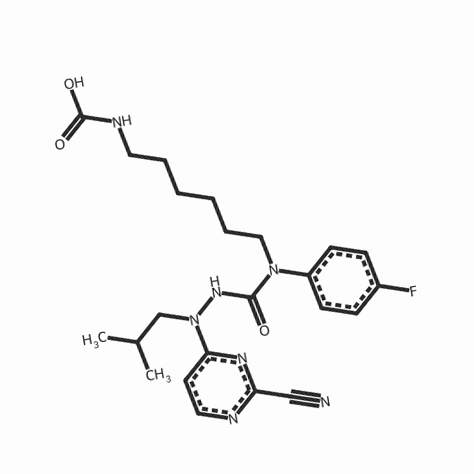 CC(C)CN(NC(=O)N(CCCCCCNC(=O)O)c1ccc(F)cc1)c1ccnc(C#N)n1